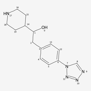 OC(Cc1ccc(-n2cnnn2)cc1)C1CCNCC1